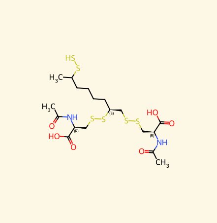 CC(=O)N[C@@H](CSSC[C@H](CCCCC(C)SS)SSC[C@H](NC(C)=O)C(=O)O)C(=O)O